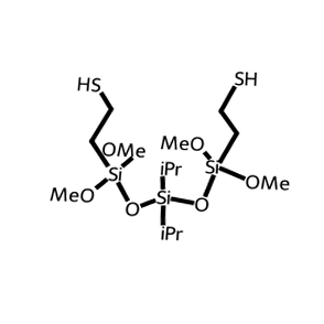 CO[Si](CCS)(OC)O[Si](O[Si](CCS)(OC)OC)(C(C)C)C(C)C